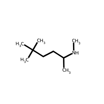 CNC(C)CCC(C)(C)C